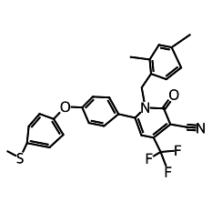 CSc1ccc(Oc2ccc(-c3cc(C(F)(F)F)c(C#N)c(=O)n3Cc3ccc(C)cc3C)cc2)cc1